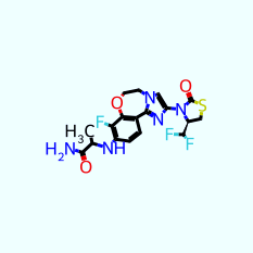 CC(Nc1ccc2c(c1F)OCCn1cc(N3C(=O)SC[C@H]3C(F)F)nc1-2)C(N)=O